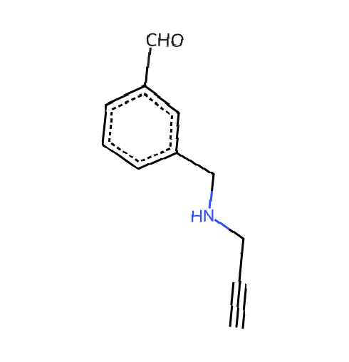 C#CCNCc1cccc(C=O)c1